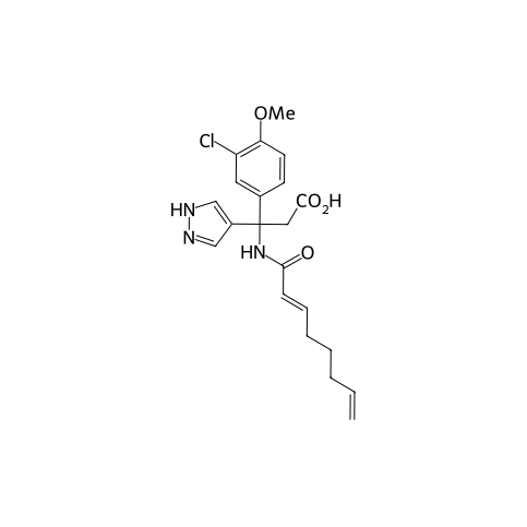 C=CCCCC=CC(=O)NC(CC(=O)O)(c1cn[nH]c1)c1ccc(OC)c(Cl)c1